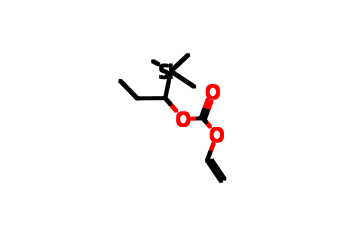 C=COC(=O)OC(CC)[Si](C)(C)C